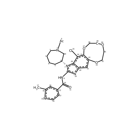 CC(=O)N1CCCC[C@@H](n2c(NC(=O)c3ccnc(C)c3)nc3cc4c(c(Cl)c32)OCCOCCO4)C1